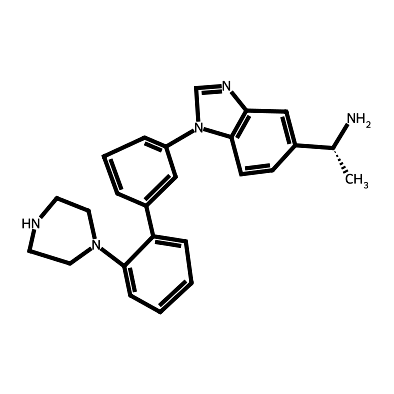 C[C@@H](N)c1ccc2c(c1)ncn2-c1cccc(-c2ccccc2N2CCNCC2)c1